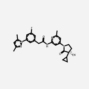 Cc1cc(N2CC[C@@](C#N)(C3CC3)C2=O)cc(NC(=O)Cc2cc(F)cc(-n3nc(C)cc3C)c2)n1